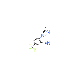 Cc1cn(-c2ccc(C(F)(F)F)cc2C#N)cn1